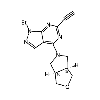 C#Cc1nc(N2C[C@H]3COC[C@H]3C2)c2cnn(CC)c2n1